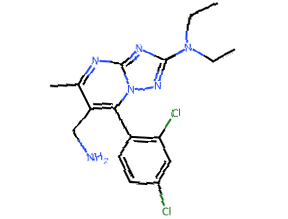 CCN(CC)c1nc2nc(C)c(CN)c(-c3ccc(Cl)cc3Cl)n2n1